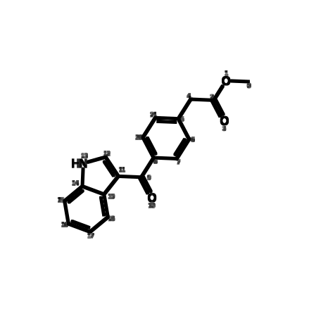 COC(=O)Cc1ccc(C(=O)c2c[nH]c3ccccc23)cc1